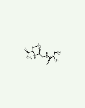 CC(=O)C(CN)NC(=O)CNC(=O)C(C)CS